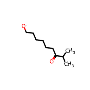 CC(C)C(=O)CCCCCC[O]